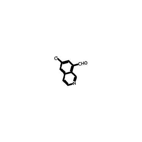 O=Cc1cc(Cl)cc2ccncc12